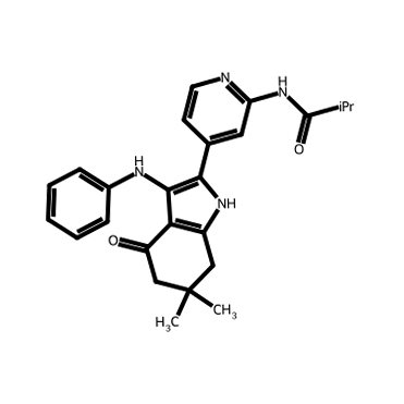 CC(C)C(=O)Nc1cc(-c2[nH]c3c(c2Nc2ccccc2)C(=O)CC(C)(C)C3)ccn1